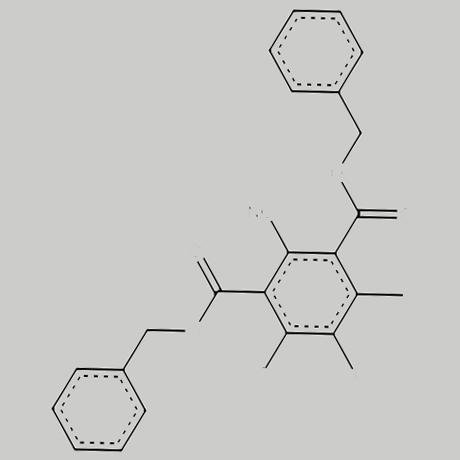 Cc1c(I)c(I)c(C(=O)OCc2ccccc2)c(C#N)c1C(=O)OCc1ccccc1